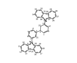 C1=CC(c2cccc(-n3c4ccccc4c4ccccc43)c2)CC(n2c3ccccc3c3ccccc32)=C1